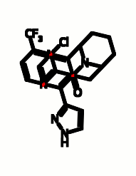 O=C(c1cccc(C(F)(F)F)c1Cl)N1C2CCCC1c1ncnc(-c3cc[nH]n3)c1C2